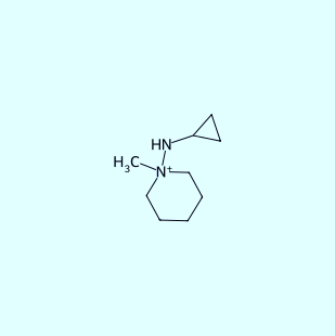 C[N+]1(NC2CC2)CCCCC1